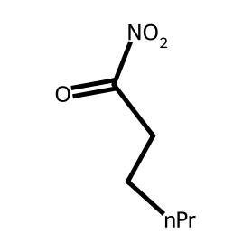 CCCCCC(=O)[N+](=O)[O-]